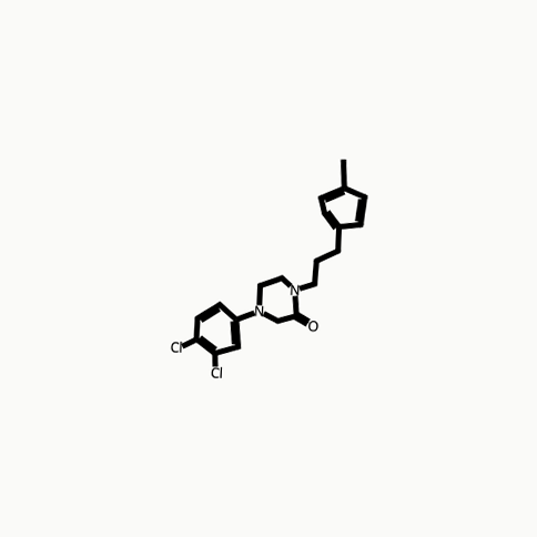 Cc1ccc(CCCN2CCN(c3ccc(Cl)c(Cl)c3)CC2=O)cc1